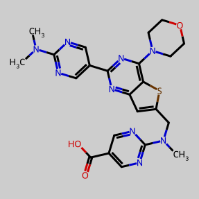 CN(C)c1ncc(-c2nc(N3CCOCC3)c3sc(CN(C)c4ncc(C(=O)O)cn4)cc3n2)cn1